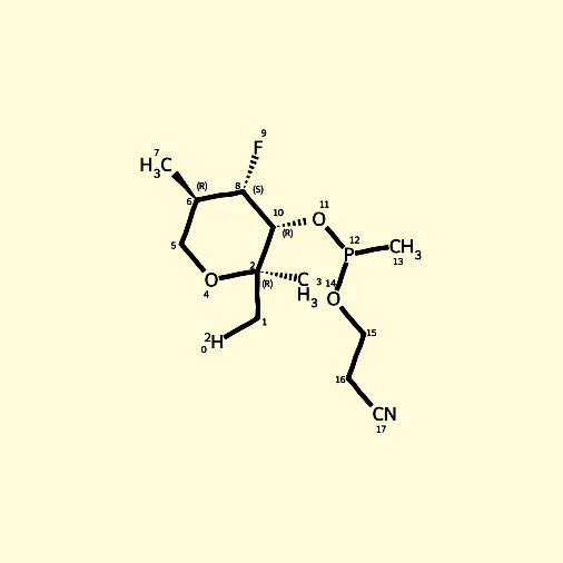 [2H]C[C@@]1(C)OC[C@@H](C)[C@H](F)[C@@H]1OP(C)OCCC#N